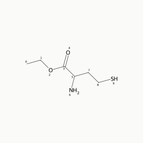 CCOC(=O)C(N)CCS